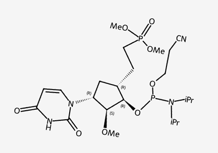 CO[C@@H]1[C@H](OP(OCCC#N)N(C(C)C)C(C)C)[C@@H](CCP(=O)(OC)OC)C[C@H]1n1ccc(=O)[nH]c1=O